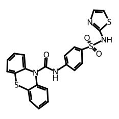 O=C(Nc1ccc(S(=O)(=O)Nc2nccs2)cc1)N1c2ccccc2Sc2ccccc21